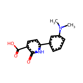 CN(C)c1cccc(-c2ccc(C(=O)O)c(=O)[nH]2)c1